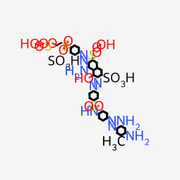 Cc1cc(/N=N/c2ccc(NS(=O)(=O)c3ccc(/N=N/c4c(S(=O)(=O)O)cc5cc(SOOO)c(/N=N/c6ccc(S(=O)(=O)CCOSOOO)cc6S(=O)(=O)O)c(N)c5c4O)cc3)cc2)c(N)cc1N